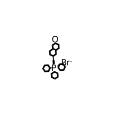 COc1ccc2cc(C#C[P+](c3ccccc3)(c3ccccc3)c3ccccc3)ccc2c1.[Br-]